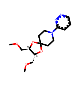 COC[C@H]1OC2(CCN(c3cc[c]nn3)CC2)O[C@@H]1COC